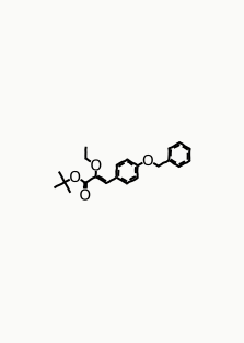 CCOC(=Cc1ccc(OCc2ccccc2)cc1)C(=O)OC(C)(C)C